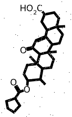 CC1C(OC(=O)C2CCCC2)CCC2(C)C1CCC1(C)C3CCC4(C)CCC(C(=O)O)CC4C3=CC(=O)C12